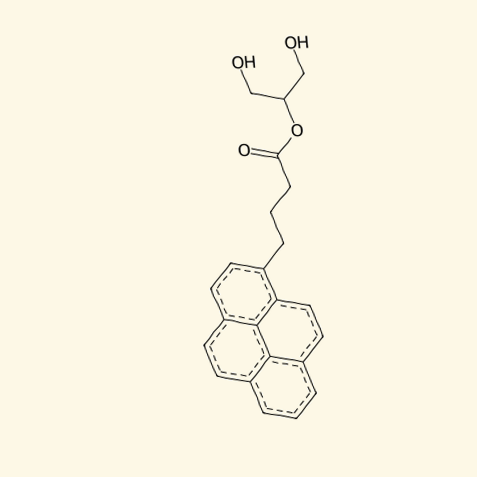 O=C(CCCc1ccc2ccc3cccc4ccc1c2c34)OC(CO)CO